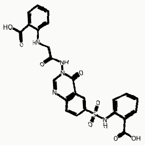 O=C(CNc1ccccc1C(=O)O)Nn1cnc2ccc(S(=O)(=O)Nc3ccccc3C(=O)O)cc2c1=O